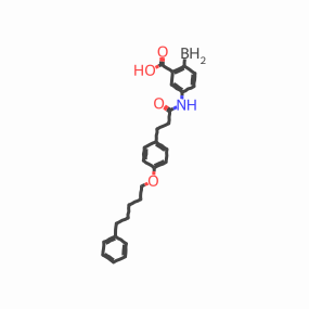 Bc1ccc(NC(=O)CCc2ccc(OCCCCCc3ccccc3)cc2)cc1C(=O)O